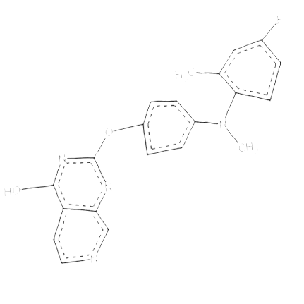 Cc1cc(F)ccc1N(C)c1ccc(Oc2nc(O)c3ccncc3n2)cc1